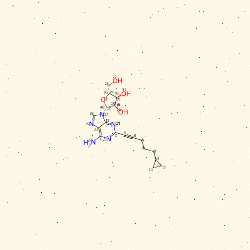 Nc1nc(C#CCCCC2CC2)nc2c1ncn2[C@@H]1O[C@H](CO)[C@@H](O)[C@H]1O